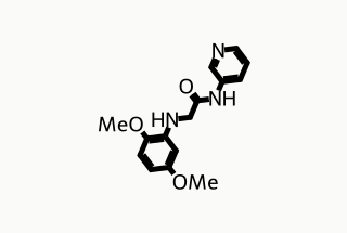 COc1ccc(OC)c(NCC(=O)Nc2cccnc2)c1